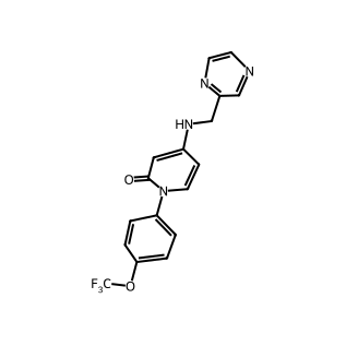 O=c1cc(NCc2cnccn2)ccn1-c1ccc(OC(F)(F)F)cc1